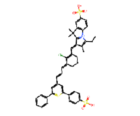 CCC1=C(C)C(=CC2=C(Cl)C(=CC=Cc3cc(-c4ccccc4)[s+]c(-c4ccc(S(=O)(=O)O)cc4)c3)CCC2)C2=[N+]1c1ccc(S(=O)(=O)O)cc1C2(C)C